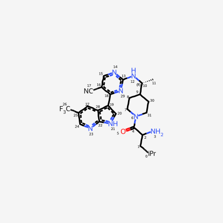 CC(C)CC(N)C(=O)N1CCC([C@@H](C)Nc2ncc(C#N)c(-c3c[nH]c4ncc(C(F)(F)F)cc34)n2)CC1